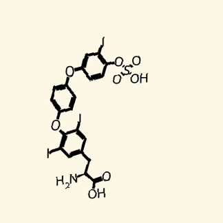 N[C@@H](Cc1cc(I)c(Oc2ccc(Oc3ccc(OS(=O)(=O)O)c(I)c3)cc2)c(I)c1)C(=O)O